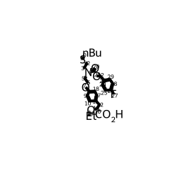 CCCCSCCN(CCOc1ccc(CC(OCC)C(=O)O)cc1)C(=O)OCc1ccc(F)cc1